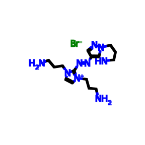 NCCCn1cc[n+](CCCN)c1/N=N/c1cnn2c1NCCC2.[Br-]